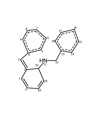 C1=CC(=Cc2ccccc2)C(NCc2ccccc2)C=C1